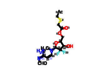 CC(=O)CSCC(=O)OCC1OC(N(C)/C=C\C(N)=N/C=O)C(F)(F)C1O